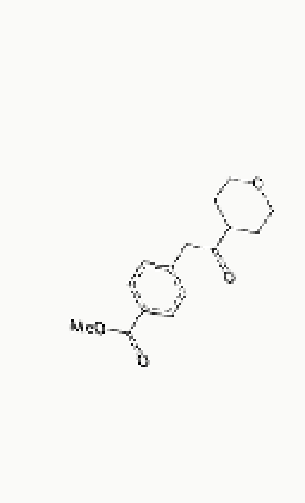 COC(=O)c1ccc(CC(=O)C2CCOCC2)cc1